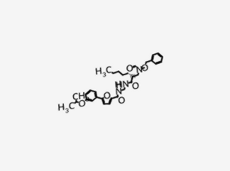 CCCCC[C@H](CN(C=O)OCc1ccccc1)C(=O)NCNC(=O)c1ccc(-c2cccc(OC(C)C)c2)o1